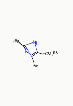 CCCCc1nc(C(C)=O)c(C(=O)OCC)[nH]1